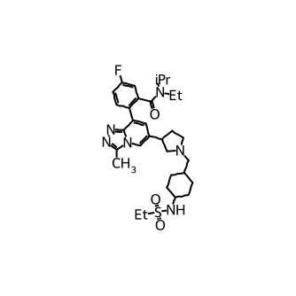 CCN(C(=O)c1cc(F)ccc1-c1cc(C2CCN(CC3CCC(NS(=O)(=O)CC)CC3)C2)cn2c(C)nnc12)C(C)C